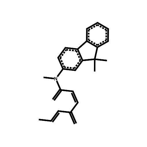 C=C(/C=C\C(=C)N(C)c1ccc2c(c1)C(C)(C)c1ccccc1-2)/C=C/C